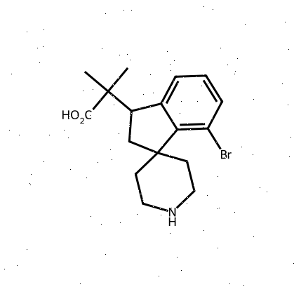 CC(C)(C(=O)O)C1CC2(CCNCC2)c2c(Br)cccc21